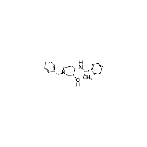 C[C@@H](N[C@H]1CCN(Cc2ccccc2)C[C@@H]1O)c1ccccc1